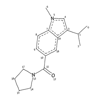 CC(C)c1cn(C)c2ccc(C(=O)N3CCCC3)cc12